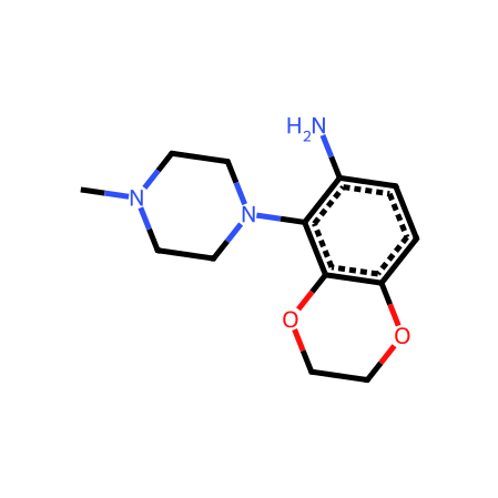 CN1CCN(c2c(N)ccc3c2OCCO3)CC1